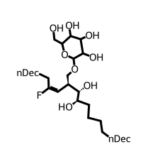 CCCCCCCCCCCCCC[C@@H](O)[C@@H](O)[C@@H](/C=C(/F)CCCCCCCCCCC)COC1OC(CO)C(O)C(O)C1O